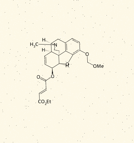 CCOC(=O)C=CC(=O)O[C@H]1C=C[C@H]2[C@H]3Cc4ccc(OCOC)c5c4[C@@]2(CCN3C)[C@H]1O5